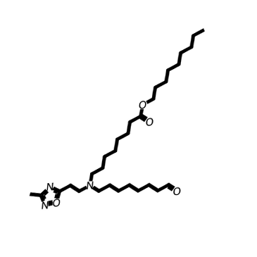 CCCCCCCCCOC(=O)CCCCCCCN(CCCCCCCC=O)CCc1nc(C)no1